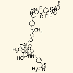 Cc1ncsc1-c1ccc(CNC(=O)[C@@H]2C[C@@H](O)CN2C(=O)[C@@H](NC(=O)CO[C@H]2C[C@H](N(C)Cc3ccc(-c4cnc5[nH]cc(C(=O)c6c(F)ccc(NS(=O)(=O)N7CC[C@@H](F)C7)c6F)c5c4)cc3)C2)C(C)(C)C)cc1